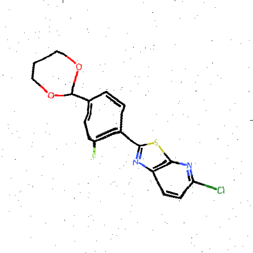 Fc1cc(C2OCCCO2)ccc1-c1nc2ccc(Cl)nc2s1